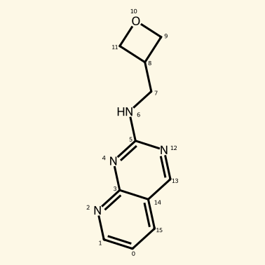 c1cnc2nc(NCC3COC3)ncc2c1